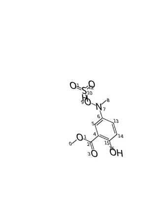 COC(=O)c1cc(N(C)O[SH](=O)=O)ccc1O